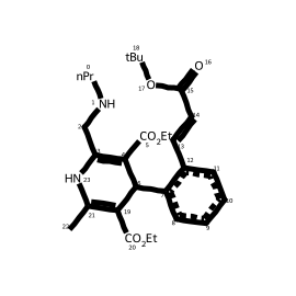 CCCNCC1=C(C(=O)OCC)C(c2ccccc2C=CC(=O)OC(C)(C)C)C(C(=O)OCC)=C(C)N1